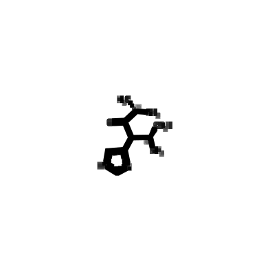 C[C@H](N)C(=O)C(c1c[nH]cn1)[C@H](N)C(=O)O